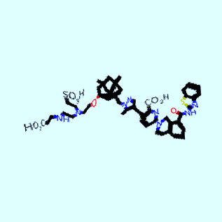 Cc1c(-c2ccc(N3CCc4cccc(C(=O)Nc5nc6ccccc6s5)c4C3)nc2C(=O)O)cnn1CC12CC3(C)CC(C)(C1)CC(OCCN(CCNCCC(=O)O)CCS(=O)(=O)O)(C3)C2